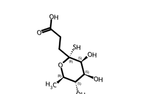 C[C@H]1O[C@@](S)(CCC(=O)O)[C@@H](O)[C@@H](O)[C@@H]1O